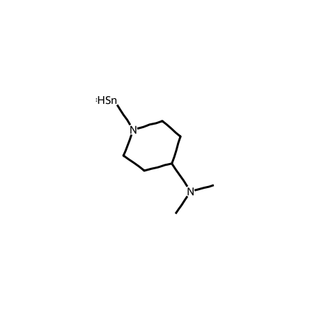 CN(C)C1CC[N]([SnH])CC1